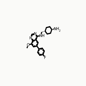 COc1cc(-c2ccc(F)cc2)cc2c(NC[C@H]3CC[C@H](N)CC3)ncnc12